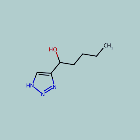 CCCCC(O)c1c[nH]nn1